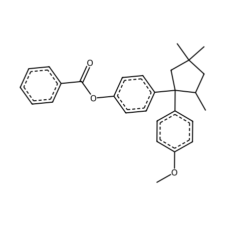 COc1ccc(C2(c3ccc(OC(=O)c4ccccc4)cc3)CC(C)(C)CC2C)cc1